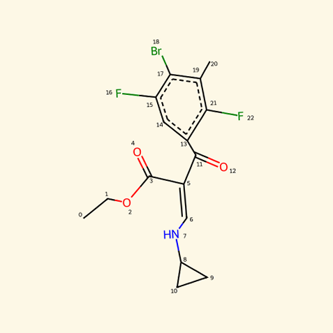 CCOC(=O)C(=CNC1CC1)C(=O)c1cc(F)c(Br)c(C)c1F